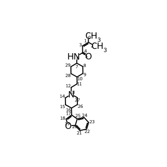 CC(C)=CC(=O)NC1CCC(CCN2CCC(c3coc4ccccc34)CC2)CC1